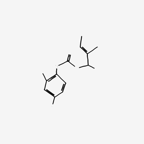 CC=C(C)C(OC(=O)Nc1ccc(Br)cc1Br)C(=O)O